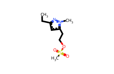 CCc1cc(CCOS(C)(=O)=O)n(C)n1